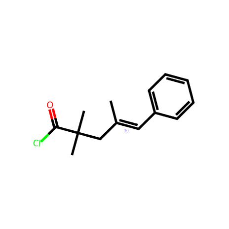 C/C(=C\c1ccccc1)CC(C)(C)C(=O)Cl